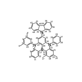 Cc1cc(C)cc(N2c3ccccc3B3c4c(C)cc(C)cc4N(c4ccccc4)c4cc(-n5c6ccccc6c6ccccc65)cc2c43)c1